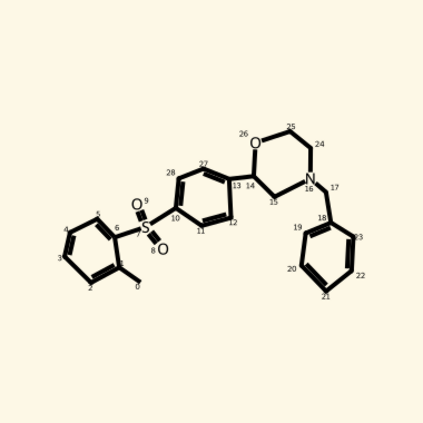 Cc1ccccc1S(=O)(=O)c1ccc(C2CN(Cc3ccccc3)CCO2)cc1